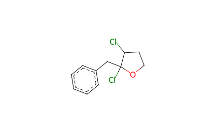 ClC1CCOC1(Cl)Cc1ccccc1